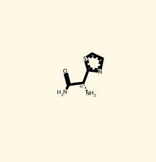 NC(=O)[C@@H](N)c1nccs1